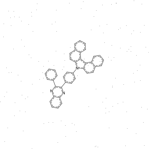 c1ccc(-c2nc3ccccc3nc2-c2ccc(-n3c4ccc5ccccc5c4c4c5ccccc5ccc43)cc2)cc1